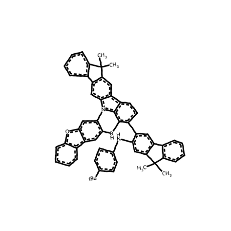 CC(C)(C)c1ccc(Nc2cc3c(cc2-c2ccc4c5cc6c(cc5n5c4c2Bc2cc4c(cc2-5)oc2ccccc24)-c2ccccc2C6(C)C)-c2ccccc2C3(C)C)cc1